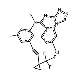 CN(c1cc(F)cc(C#CC2(C(F)(F)F)CC2)c1)c1nc2nncn2c2cc(Cl)ccc12